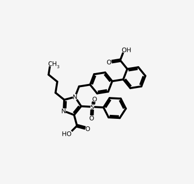 CCCCc1nc(C(=O)O)c(S(=O)(=O)c2ccccc2)n1Cc1ccc(-c2ccccc2C(=O)O)cc1